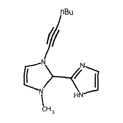 CCCCC#CN1C=CN(C)C1c1ncc[nH]1